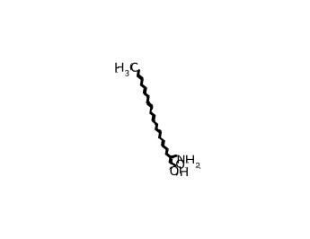 CCC=CCC=CCC=CCC=CCC=CCC=CCCC(CN)CC(=O)O